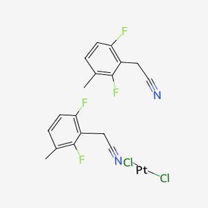 Cc1ccc(F)c(CC#N)c1F.Cc1ccc(F)c(CC#N)c1F.[Cl][Pt][Cl]